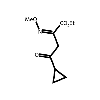 CCOC(=O)C(CC(=O)C1CC1)=NOC